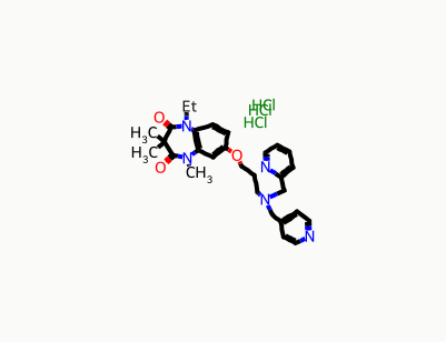 CCN1C(=O)C(C)(C)C(=O)N(C)c2cc(OCCCN(Cc3ccncc3)Cc3ccccn3)ccc21.Cl.Cl.Cl